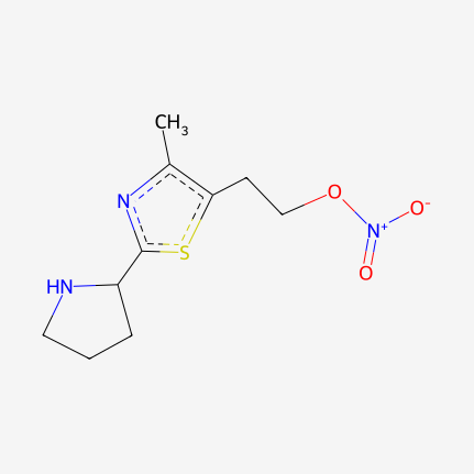 Cc1nc(C2CCCN2)sc1CCO[N+](=O)[O-]